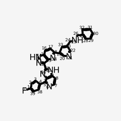 Fc1ccc(-c2nccc3[nH]c(-c4n[nH]c5ccc(-c6cncc(CNCc7ccccc7)c6)nc45)nc23)cc1